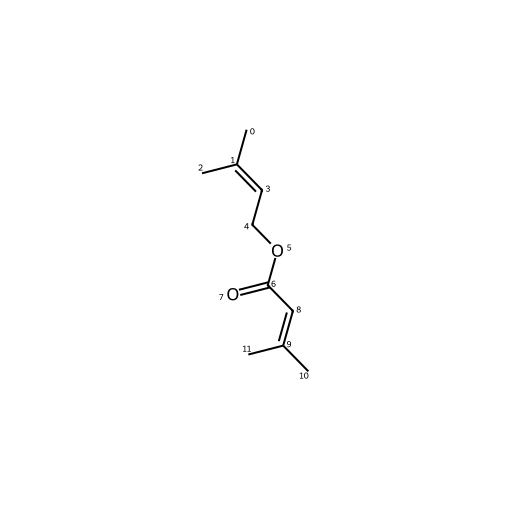 CC(C)=CCOC(=O)C=C(C)C